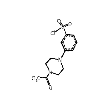 O=C(N1CCN(c2cccc(S(=O)(=O)Cl)c2)CC1)C(Cl)(Cl)Cl